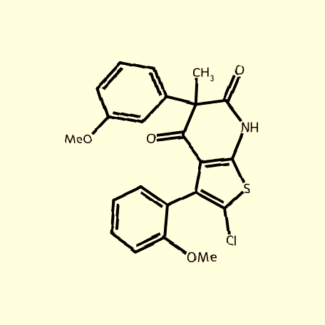 COc1cccc(C2(C)C(=O)Nc3sc(Cl)c(-c4ccccc4OC)c3C2=O)c1